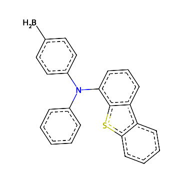 Bc1ccc(N(c2ccccc2)c2cccc3c2sc2ccccc23)cc1